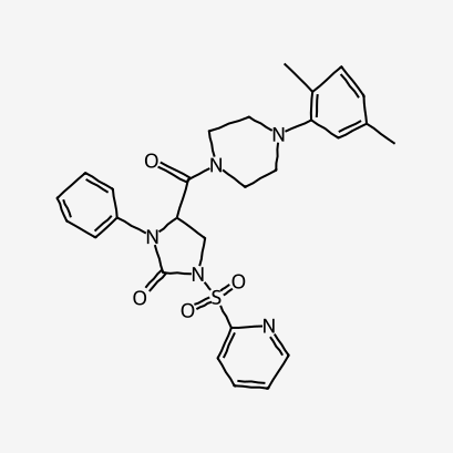 Cc1ccc(C)c(N2CCN(C(=O)C3CN(S(=O)(=O)c4ccccn4)C(=O)N3c3ccccc3)CC2)c1